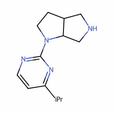 CC(C)c1ccnc(N2CCC3CNCC32)n1